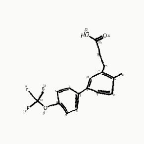 Cc1ccc(-c2ccc(OC(F)(F)F)cc2)cc1CCC(=O)O